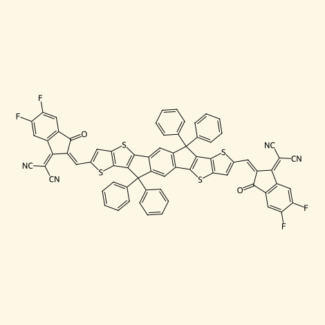 N#CC(C#N)=C1/C(=C/c2cc3sc4c(c3s2)C(c2ccccc2)(c2ccccc2)c2cc3c(cc2-4)C(c2ccccc2)(c2ccccc2)c2c-3sc3cc(/C=C4\C(=O)c5cc(F)c(F)cc5C4=C(C#N)C#N)sc23)C(=O)c2cc(F)c(F)cc21